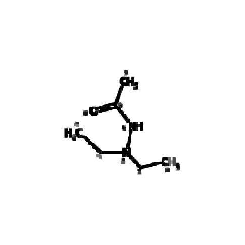 CCN(CC)NC(C)=O